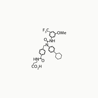 COc1cc(NC(=O)N(Cc2ccc(C(=O)NCCC(=O)O)cc2)c2ccc(C3CCCCC3)cc2)cc(C(F)(F)F)c1